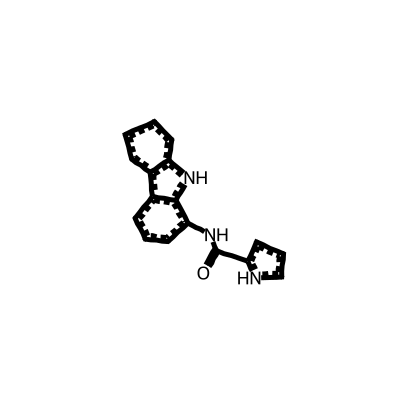 O=C(Nc1cccc2c1[nH]c1ccccc12)c1ccc[nH]1